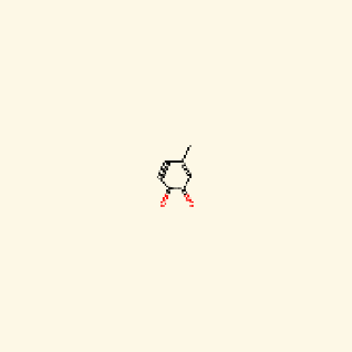 CC1=CC(=O)C(=O)C#C1